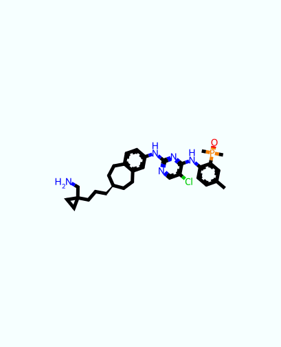 Cc1ccc(Nc2nc(Nc3ccc4c(c3)CC[C@@H](CCCC3(CN)CC3)CC4)ncc2Cl)c(P(C)(C)=O)c1